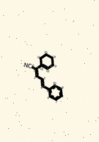 N#CC(=CC=Cc1ccccc1)C1=CCCCC1